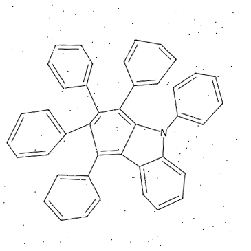 c1ccc(-c2c(-c3ccccc3)c(-c3ccccc3)c3c(c2-c2ccccc2)c2ccccc2n3-c2ccccc2)cc1